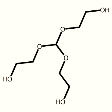 OCCOC(OCCO)OCCO